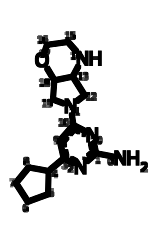 Nc1nc(C2CCCC2)cc(N2CC3NCCOC3C2)n1